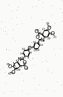 COc1cc2nc(-c3ccc(Oc4cccc(-c5nc6cc(OC)c(OC)cc6c(=O)o5)c4)cc3)oc(=O)c2cc1OC